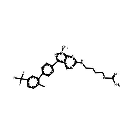 Cn1nc(-c2[c]cc(-c3cc(C(F)(F)F)ccc3F)cc2)c2cnc(NCCCCNC(=N)N)nc21